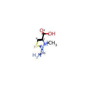 CN1C(C(=O)O)=CS[N+]1=NN